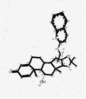 CC1(C)O[C@@H]2CC3C4CCC5=CC(=O)C=CC5(C)C4[C@@H](O)CC3(C)[C@]2(C(=O)CSc2ccc3ccccc3n2)O1